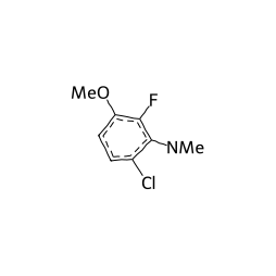 CNc1c(Cl)ccc(OC)c1F